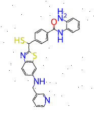 Nc1ccccc1NC(=O)c1ccc(C(S)c2nc3ccc(NCc4cccnc4)cc3s2)cc1